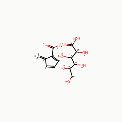 C=C1C=CC=C1C(=O)O.O=C(O)C(O)C(O)C(O)C(O)CO